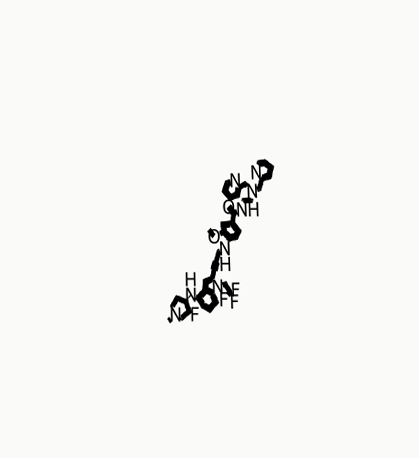 COc1cc(C(=O)NCCN(Cc2ccccn2)Cc2ccccn2)ccc1NCC#Cc1cc2c(N[C@H]3CCN(C)C[C@H]3F)cccc2n1CC(F)(F)F